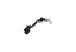 NCc1ccc(CNCCCOCCNCc2ccc3ccc4cccc5ccc2c3c45)cc1